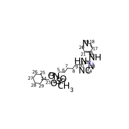 CS(=O)(=O)N(CCCCCCN/C(=N\C#N)Nc1ccncc1)OCC1CCCCC1